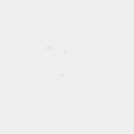 CN1CCC2(CC1)C(=O)NCN2c1ccccc1